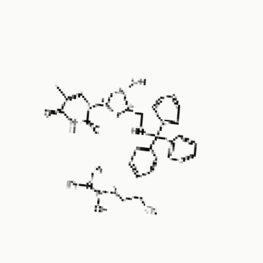 CC(C)N(C(C)C)P(O)OCCC#N.Cc1cn([C@H]2C[C@H](O)[C@@H](CNC(c3ccccc3)(c3ccccc3)c3ccccc3)O2)c(=O)[nH]c1=O